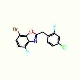 Fc1cc(Cl)ccc1Cc1nc2c(F)ccc(Br)c2o1